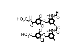 CCC(=O)Nc1cc(C)cc(COc2c(Cl)cc(C(=O)NCC(=O)O)cc2Cl)c1F.CCC(=O)Nc1cc(C)cc(COc2c(Cl)cc(CC(=O)O)cc2Cl)c1F